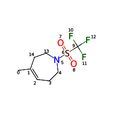 CC1=CCCN(S(=O)(=O)C(F)(F)F)CC1